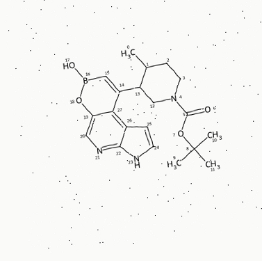 CC1CCN(C(=O)OC(C)(C)C)CC1C1=CB(O)Oc2cnc3[nH]ccc3c21